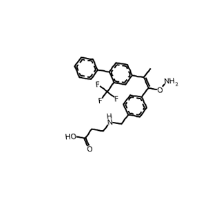 C/C(=C(\ON)c1ccc(CNCCC(=O)O)cc1)c1ccc(-c2ccccc2)c(C(F)(F)F)c1